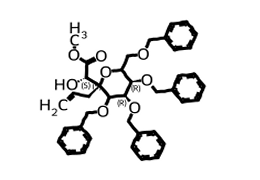 C=CC[C@@]1([C@H](O)C(=O)OC)OC(COCc2ccccc2)[C@@H](OCc2ccccc2)[C@@H](OCc2ccccc2)C1OCc1ccccc1